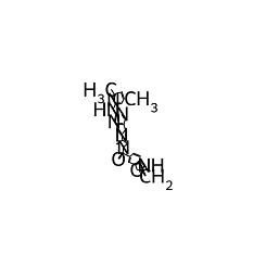 C=C1Nc2ccc(C(=O)N3CC(N4Cc5cnc(Nc6cc(C)cc(C)n6)nc5C4)C3)cc2O1